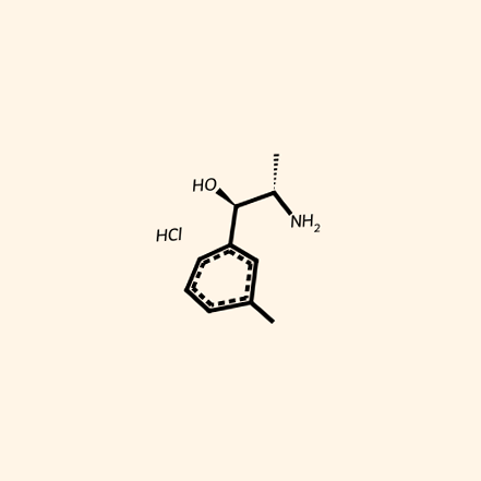 Cc1cccc([C@@H](O)[C@H](C)N)c1.Cl